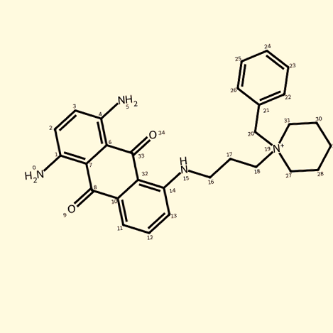 Nc1ccc(N)c2c1C(=O)c1cccc(NCCC[N+]3(Cc4ccccc4)CCCCC3)c1C2=O